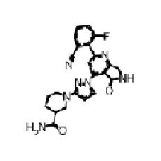 N#Cc1cccc(F)c1-c1cc(-n2ccc(N3CCC[C@H](C(N)=O)C3)n2)c2c(n1)CNC2=O